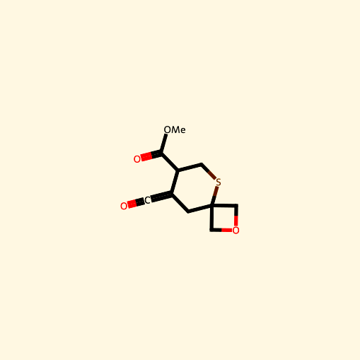 COC(=O)C1CSC2(COC2)CC1=C=O